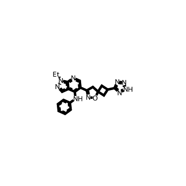 CCn1ncc2c(Nc3ccccc3)c(C3=NOC4(C3)CC(c3nn[nH]n3)C4)cnc21